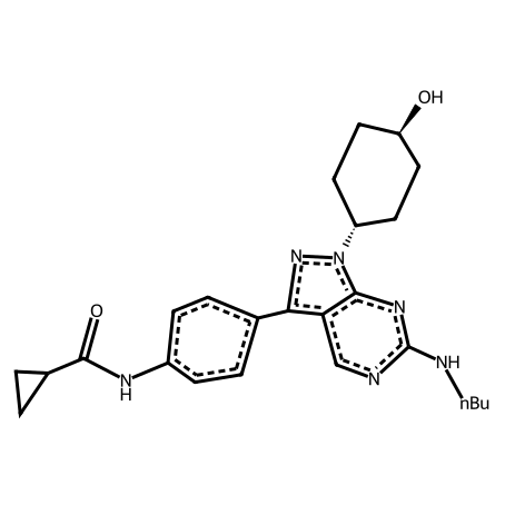 CCCCNc1ncc2c(-c3ccc(NC(=O)C4CC4)cc3)nn([C@H]3CC[C@H](O)CC3)c2n1